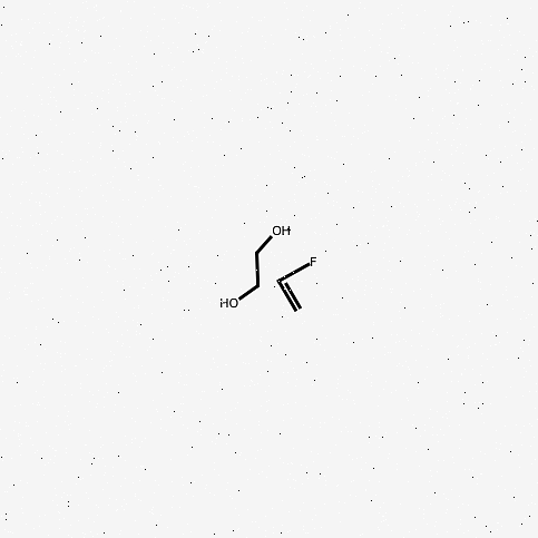 C=CF.OCCO